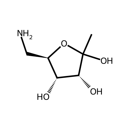 CC1(O)O[C@H](CN)[C@@H](O)[C@H]1O